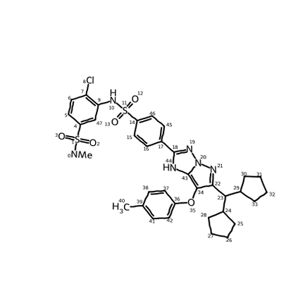 CNS(=O)(=O)c1ccc(Cl)c(NS(=O)(=O)c2ccc(-c3nn4nc(C(C5CCCC5)C5CCCC5)c(Oc5ccc(C)cc5)c4[nH]3)cc2)c1